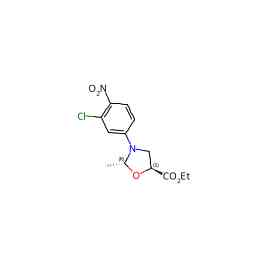 CCOC(=O)[C@@H]1CN(c2ccc([N+](=O)[O-])c(Cl)c2)[C@@H](C)O1